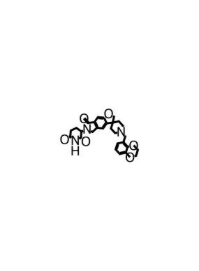 O=C1CCC(N2Cc3cc4c(cc3C2=O)OCC42CCN(Cc3cccc4c3OCCO4)CC2)C(=O)N1